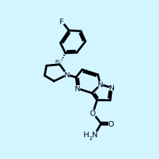 NC(=O)Oc1cnn2ccc(N3CCC[C@@H]3c3cccc(F)c3)nc12